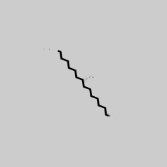 O=C([O-])CCCCCCCCCCCCCCC(=O)[O-].[K+].[K+]